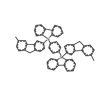 Cc1ccc2c(c1)-c1cc([Si]3(c4ccc([Si]5(c6ccc7c(c6)-c6cc(C)ccc6C7)c6ccccc6-c6ccccc65)cc4)c4ccccc4-c4ccccc43)ccc1C2